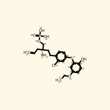 C=CC[C@](N)(CCc1ccc(Sc2cc(OCC)ccc2O)cc1Cl)COP(=O)(O)O